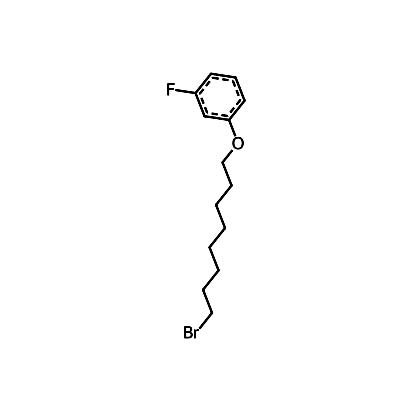 Fc1cccc(OCCCCCCCCBr)c1